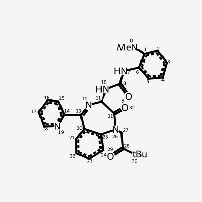 CNc1ccccc1NC(=O)N[C@@H]1N=C(c2ccccn2)c2ccccc2N(CC(=O)C(C)(C)C)C1=O